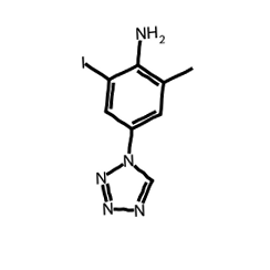 Cc1cc(-n2cnnn2)cc(I)c1N